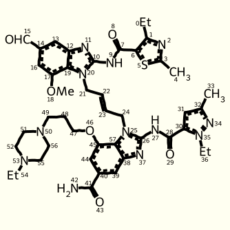 CCc1nc(C)sc1C(=O)Nc1nc2cc(C=O)cc(OC)c2n1C/C=C/Cn1c(NC(=O)c2cc(C)nn2CC)nc2cc(C(N)=O)cc(OCCCN3CCN(CC)CC3)c21